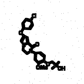 COc1cc(N2CCn3cc(Oc4ccc(Cl)cc4)cc3C2=O)ccc1OCC(C)(C)O